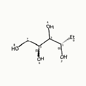 CC[C@H](O)C(O)[C@@H](O)CO